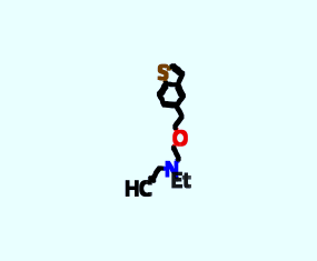 C#CCN(CC)CCOCCc1ccc2sccc2c1